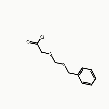 O=C(Cl)CSCSCc1ccccc1